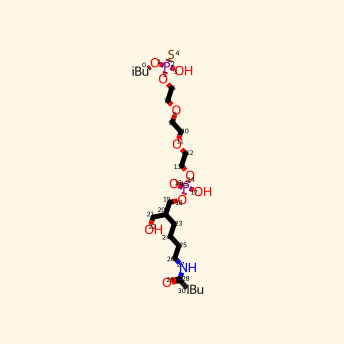 CCC(C)OP(O)(=S)OCCOCCOCCOP(=O)(O)OCC(CO)CCCCNC(=O)C(C)CC